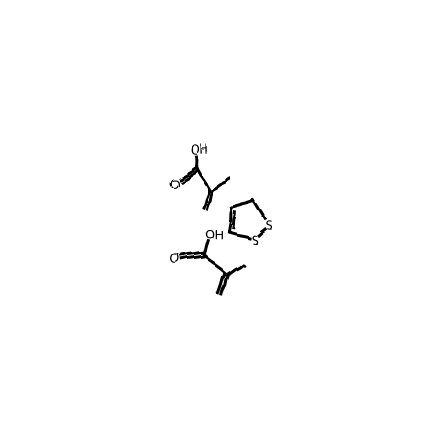 C1=CSSC1.C=C(C)C(=O)O.C=C(C)C(=O)O